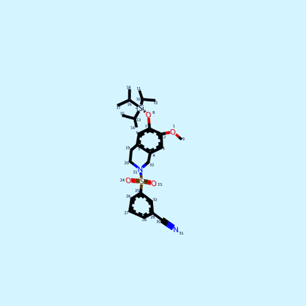 COc1cc2c(cc1O[Si](C(C)C)(C(C)C)C(C)C)CCN(S(=O)(=O)c1cccc(C#N)c1)C2